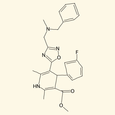 COC(=O)C1=C(C)NC(C)=C(c2nc(CN(C)Cc3ccccc3)no2)C1c1cccc(F)c1